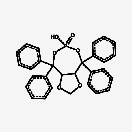 O=P1(O)OC(c2ccccc2)(c2ccccc2)C2OCOC2C(c2ccccc2)(c2ccccc2)O1